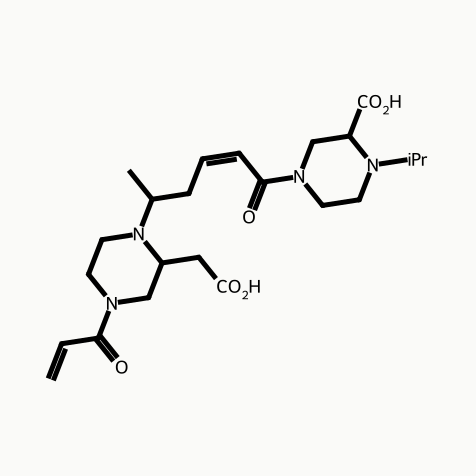 C=CC(=O)N1CCN(C(C)C/C=C\C(=O)N2CCN(C(C)C)C(C(=O)O)C2)C(CC(=O)O)C1